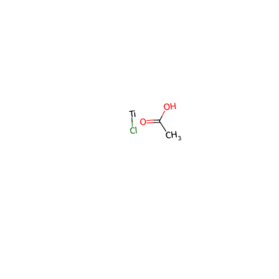 CC(=O)O.[Cl][Ti]